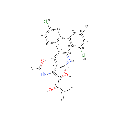 CC(=O)Nc1c(C(=O)C(C)C)oc2nc(-c3ccc(C)cc3Cl)c(-c3ccc(Cl)cc3)cc12